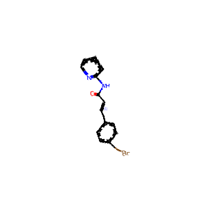 O=C(/C=C/c1ccc(Br)cc1)Nc1ccccn1